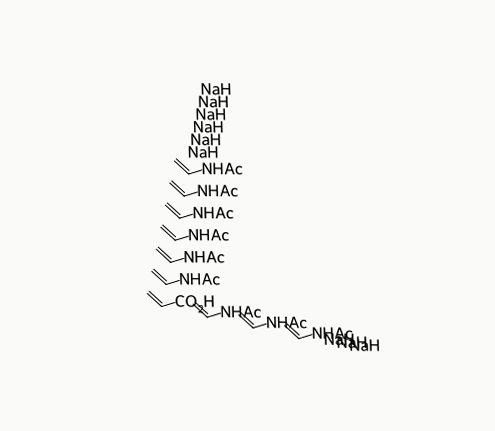 C=CC(=O)O.C=CNC(C)=O.C=CNC(C)=O.C=CNC(C)=O.C=CNC(C)=O.C=CNC(C)=O.C=CNC(C)=O.C=CNC(C)=O.C=CNC(C)=O.C=CNC(C)=O.[NaH].[NaH].[NaH].[NaH].[NaH].[NaH].[NaH].[NaH].[NaH]